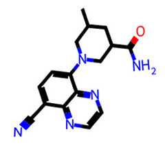 CC1CC(C(N)=O)CN(c2ccc(C#N)c3nccnc23)C1